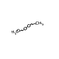 CCCC=CC1CCC(C2CCC(C=CCOC)CC2)CC1